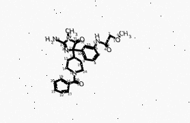 COCC(=O)Nc1cccc(C2(C3CCN(C(=O)c4ccccc4)CC3)N=C(N)N(C)C2=O)c1